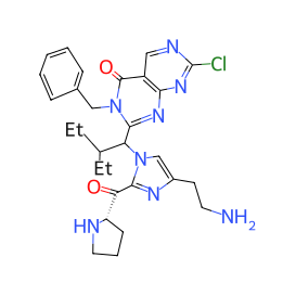 CCC(CC)C(c1nc2nc(Cl)ncc2c(=O)n1Cc1ccccc1)n1cc(CCN)nc1C(=O)[C@@H]1CCCN1